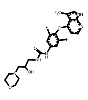 O=C(NCC(O)CN1CCOCC1)Nc1cc(F)c(Oc2ccnc3[nH]cc(C(F)(F)F)c23)c(F)c1